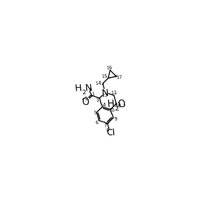 NC(=O)C1c2ccc(Cl)cc2CCN1CC1CC1.O